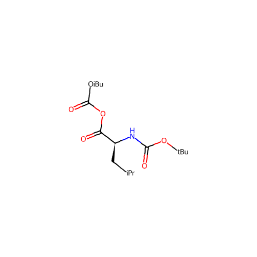 CC(C)COC(=O)OC(=O)[C@H](CC(C)C)NC(=O)OC(C)(C)C